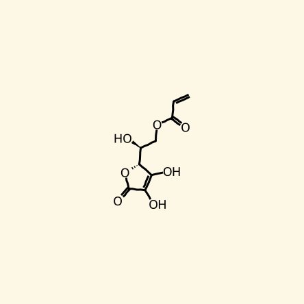 C=CC(=O)OC[C@H](O)[C@H]1OC(=O)C(O)=C1O